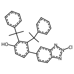 CC(C)(c1ccccc1)c1c(O)ccc(-c2ccc3nn(Cl)nc3c2)c1C(C)(C)c1ccccc1